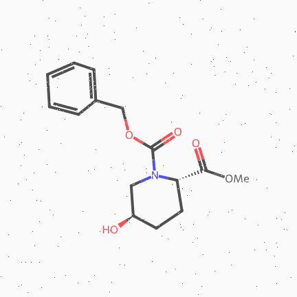 COC(=O)[C@@H]1CC[C@@H](O)CN1C(=O)OCc1ccccc1